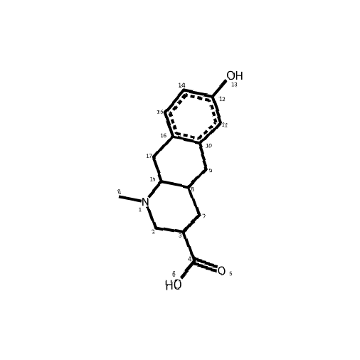 CN1CC(C(=O)O)CC2Cc3cc(O)ccc3CC21